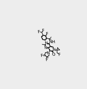 Cc1nc(N[C@H](C)c2cccc(C(F)F)c2F)c2cn(C3(CF)CC3)c(=O)c(N3C[C@@H](F)[C@@H](F)C3)c2n1